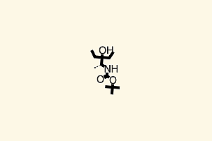 CCC(O)(CC)[C@@H](C)NC(=O)OC(C)(C)C